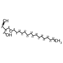 C#CCC(CO)COCCCCCCCCCCCCCCCC